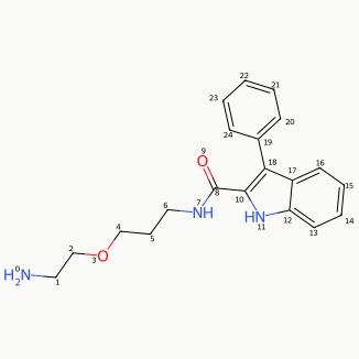 NCCOCCCNC(=O)c1[nH]c2ccccc2c1-c1ccccc1